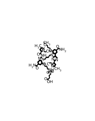 CCn1nc(C)cc1C(=O)Nc1nc2cc(C(N)=O)cc(OCCCNS(=O)(=O)CCCC(=O)O)c2n1C/C=C/Cn1c2nc(-c3cc(C)nn3CC)ncc2c2cc(C(N)=O)cc(OCCCOC)c21